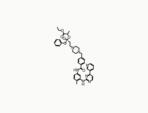 CCOC(=O)C(C)OP(=O)(CCN1CCN(Cc2ccc(C(=O)Nc3ccc(C)c(Nc4nccc(-c5cccnc5)n4)c3)cc2)CC1)Oc1ccccc1